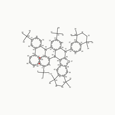 CC(C)(C)c1ccc2c(c1)B1c3c(cc(C(C)(C)C)cc3N(c3ccc4c(c3)C(C)(C)CCC4(C)C)c3oc4cc5c(cc4c31)C(C)(C)CCC5(C)C)N2c1ccc(C(C)(C)C)cc1-c1ccccc1